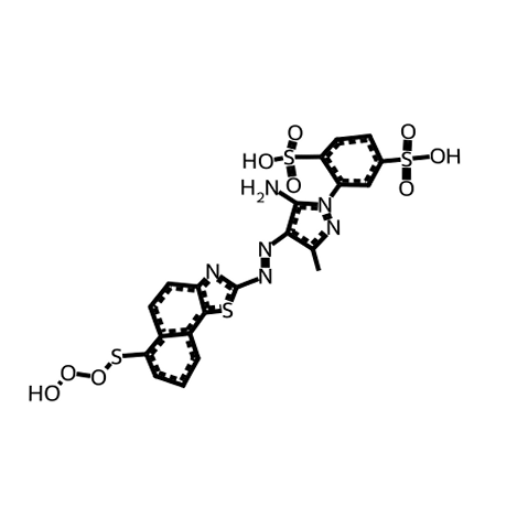 Cc1nn(-c2cc(S(=O)(=O)O)ccc2S(=O)(=O)O)c(N)c1/N=N/c1nc2ccc3c(SOOO)cccc3c2s1